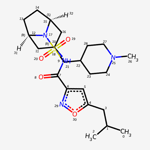 CC(C)Cc1cc(C(=O)N[C@H]2C[C@H]3CC[C@@H](C2)N3S(=O)(=O)CC2CCN(C)CC2)no1